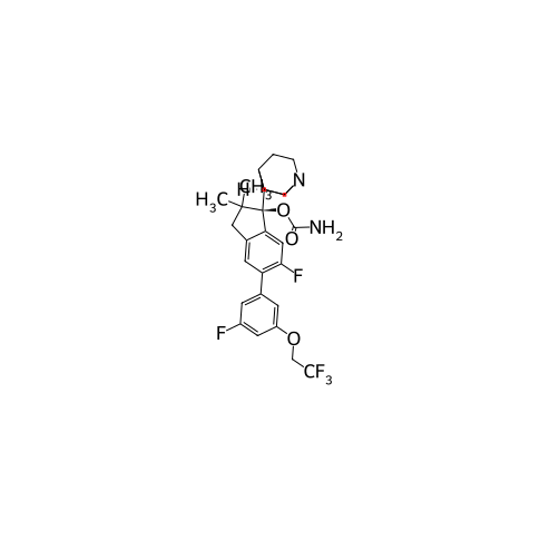 CC1(C)Cc2cc(-c3cc(F)cc(OCC(F)(F)F)c3)c(F)cc2[C@@]1(OC(N)=O)[C@@H]1CN2CCC1CC2